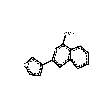 COc1nc(-c2ccoc2)cc2ccccc12